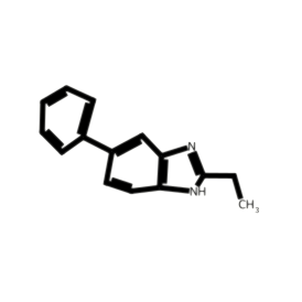 CCc1nc2cc(-c3ccccc3)ccc2[nH]1